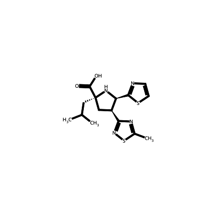 Cc1nc([C@H]2C[C@@](CC(C)C)(C(=O)O)N[C@H]2c2nccs2)ns1